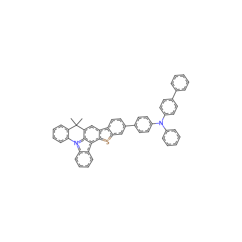 CC1(C)c2ccccc2-n2c3ccccc3c3c4sc5cc(-c6ccc(N(c7ccccc7)c7ccc(-c8ccccc8)cc7)cc6)ccc5c4cc1c32